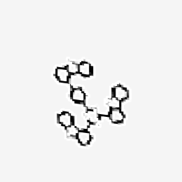 c1ccc2c(c1)sc1c(-c3nc(-c4ccc(-c5cccc6sc7ccccc7c56)cc4)nc(-c4cccc5sc6ccccc6c45)n3)cccc12